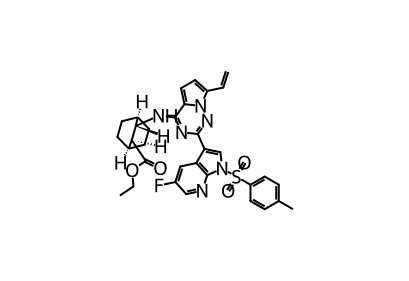 C=Cc1ccc2c(N[C@H]3[C@H]4CC[C@H](CC4)[C@@H]3C(=O)OCC)nc(-c3cn(S(=O)(=O)c4ccc(C)cc4)c4ncc(F)cc34)nn12